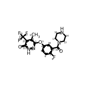 Cc1c(Oc2ccc(F)c(C(=O)N3CCNCC3)c2)n[nH]c(=O)c1C(F)(F)F